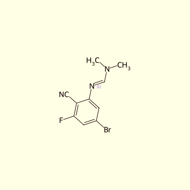 CN(C)/C=N/c1cc(Br)cc(F)c1C#N